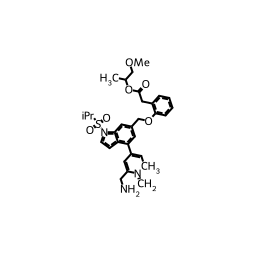 C=N/C(=C\C(=C/C)c1cc(COc2ccccc2CC(=O)OC(C)COC)cc2c1ccn2S(=O)(=O)C(C)C)CN